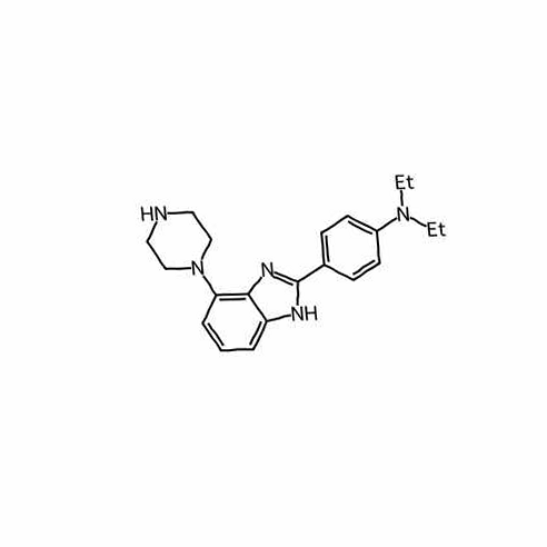 CCN(CC)c1ccc(-c2nc3c(N4CCNCC4)cccc3[nH]2)cc1